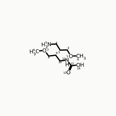 COCCCN.COCCCNC(=O)O